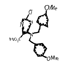 COc1ccc(CN(Cc2ccc(OC)cc2)c2nc(Cl)cnc2C(=O)O)cc1